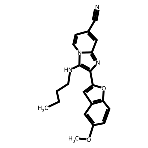 CCCCNc1c(-c2cc3cc(OC)ccc3o2)nc2cc(C#N)ccn12